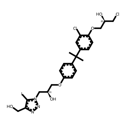 CC(C)(c1ccc(OC[C@@H](O)Cn2nnc(CO)c2I)cc1)c1ccc(OC[C@@H](O)CCl)c(Cl)c1